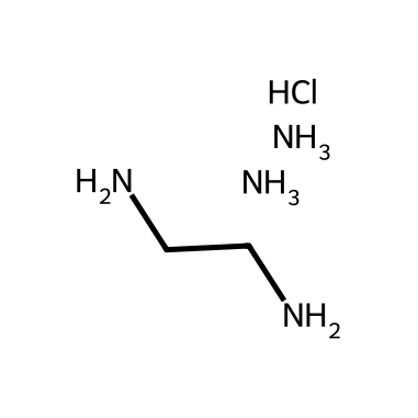 Cl.N.N.NCCN